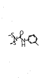 CSN(SC)C(=O)Nc1cccc(C)c1